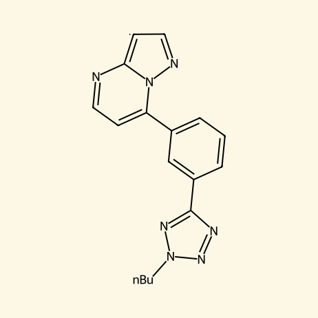 CCCCn1nnc(-c2cccc(-c3ccnc4[c]cnn34)c2)n1